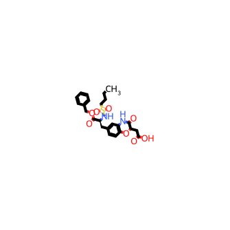 CCCCS(=O)(=O)N[C@@H](Cc1ccc2c(c1)NC(=O)C(CC(=O)O)O2)C(=O)OCc1ccccc1